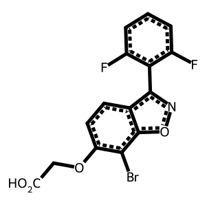 O=C(O)COc1ccc2c(-c3c(F)cccc3F)noc2c1Br